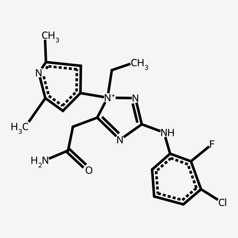 CC[N+]1(c2cc(C)nc(C)c2)N=C(Nc2cccc(Cl)c2F)N=C1CC(N)=O